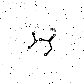 BrOBr.O=C(Cl)CCl.P